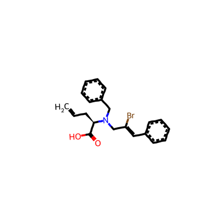 C=CC[C@H](C(=O)O)N(C/C(Br)=C/c1ccccc1)Cc1ccccc1